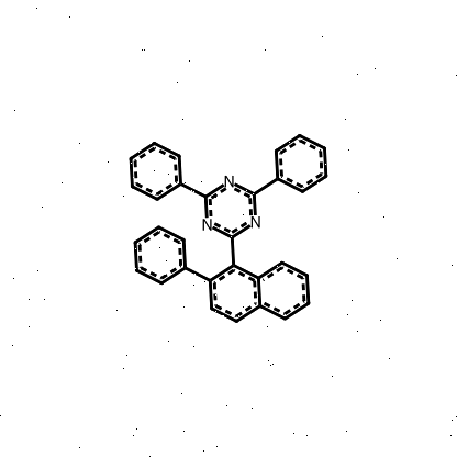 c1ccc(-c2nc(-c3ccccc3)nc(-c3c(-c4ccccc4)ccc4ccccc34)n2)cc1